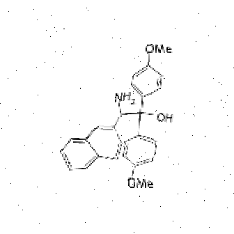 COc1ccc(C(O)(c2ccc(OC)cc2)C(N)c2ccc3ccccc3c2)cc1